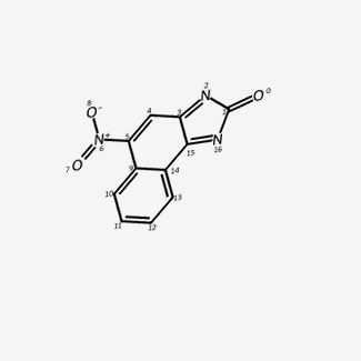 O=C1N=c2cc([N+](=O)[O-])c3ccccc3c2=N1